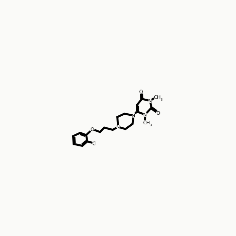 Cn1c(N2CCN(CCCOc3ccccc3Cl)CC2)cc(=O)n(C)c1=O